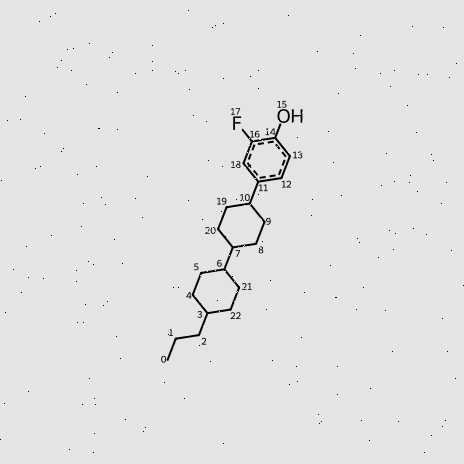 CCCC1CCC(C2CCC(c3ccc(O)c(F)c3)CC2)CC1